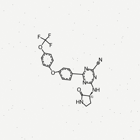 N#Cc1nc(N[C@H]2CCNC2=O)nc(-c2ccc(Oc3ccc(OC(F)(F)F)cc3)cc2)n1